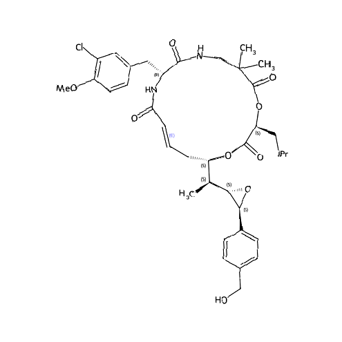 COc1ccc(C[C@H]2NC(=O)/C=C/C[C@@H]([C@H](C)[C@@H]3O[C@H]3c3ccc(CO)cc3)OC(=O)[C@H](CC(C)C)OC(=O)C(C)(C)CNC2=O)cc1Cl